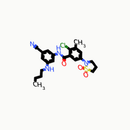 CCCCNc1cc(C#N)cc(NC(=O)c2cc(N3CCCS3(=O)=O)cc(C)c2Cl)c1